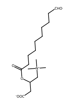 C[N+](C)(C)CC(CC(=O)[O-])OC(=O)CCCCCCCC[C]=O